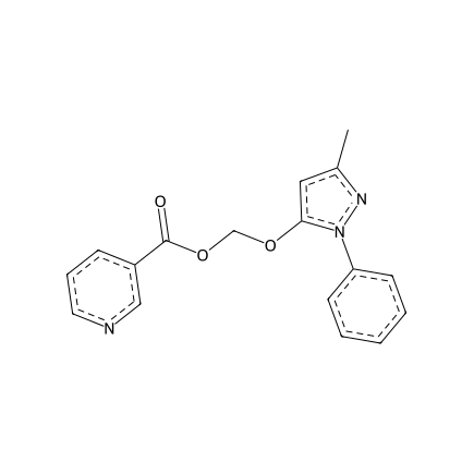 Cc1cc(OCOC(=O)c2cccnc2)n(-c2ccccc2)n1